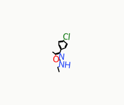 CCNc1nc(-c2ccc(Cl)cc2)c(C)o1